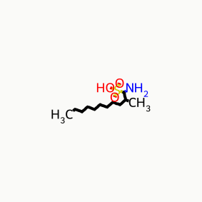 CCCCCCCCCC(C)C(N)S(=O)(=O)O